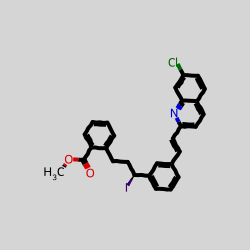 COC(=O)c1ccccc1CC[C@H](I)c1cccc(/C=C/c2ccc3ccc(Cl)cc3n2)c1